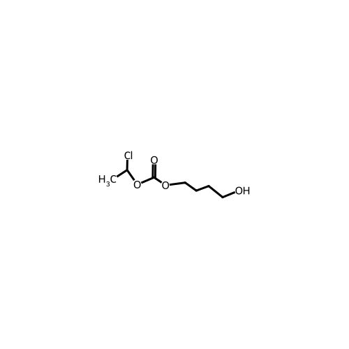 CC(Cl)OC(=O)OCCCCO